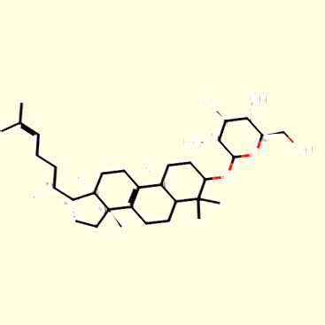 CC(C)=CCC[C@@H](C)[C@H]1CC[C@@]2(C)C3=C(CC[C@]12C)[C@@]1(C)CCC(OC2O[C@H](CO)[C@@H](O)[C@H](O)[C@H]2O)C(C)(C)C1CC3